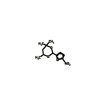 CC1CC(C)(C)OC(c2ccc([N+](=O)[O-])o2)O1